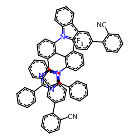 N#Cc1ccccc1-c1ccc2c(c1)c1ccccc1n2-c1cccc(-c2nc(-c3ccccc3)nc(-c3ccccc3)n2)c1-c1c(-n2c3ccccc3c3cc(-c4ccccc4C#N)ccc32)cccc1C(F)(F)F